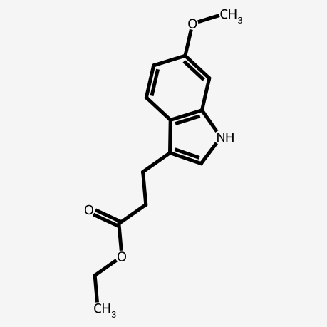 CCOC(=O)CCc1c[nH]c2cc(OC)ccc12